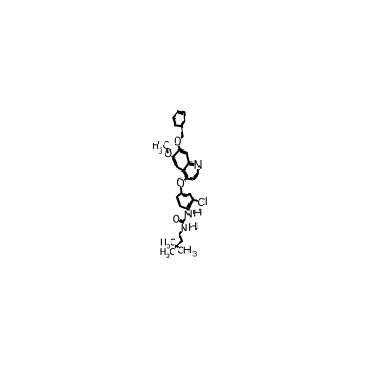 COc1cc2c(Oc3ccc(NC(=O)NCCC(C)(C)C)c(Cl)c3)ccnc2cc1OCc1ccccc1